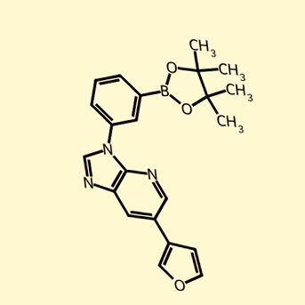 CC1(C)OB(c2cccc(-n3cnc4cc(-c5ccoc5)cnc43)c2)OC1(C)C